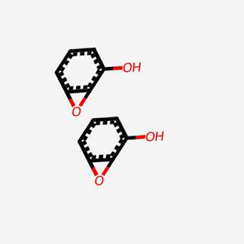 Oc1cccc2c1O2.Oc1cccc2c1O2